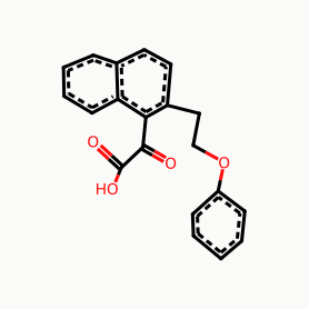 O=C(O)C(=O)c1c(CCOc2ccccc2)ccc2ccccc12